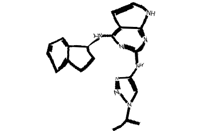 CC(C)n1cc(Nc2nc(N[C@H]3CCc4ccccc43)c3cc[nH]c3n2)nn1